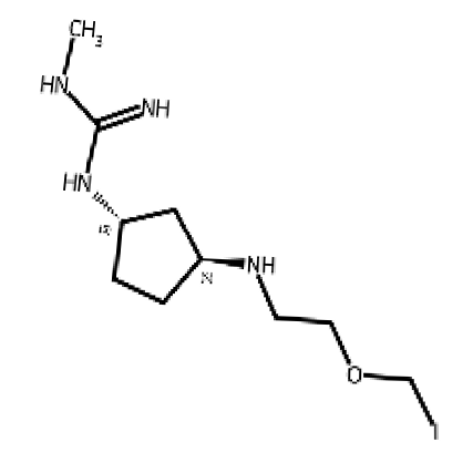 CNC(=N)N[C@H]1CC[C@H](NCCOCI)C1